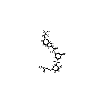 CC(C)(c1cc(Br)cc(NC(=O)c2cc3cc(NS(C)(=O)=O)ccc3s2)c1)c1cc(OCC(N)=O)ccc1F